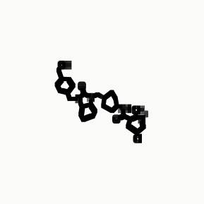 Cc1ncc(Cl)cc1C(=O)N[C@H]1CC[C@H](Cn2c(=O)n(Cc3ccc(CO)cc3)c3ccccc32)CC1